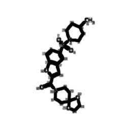 CC1CCN(S(=O)(=O)c2ccc3oc(C(=O)N4CCC5(CC4)OCCO5)cc3c2)CC1